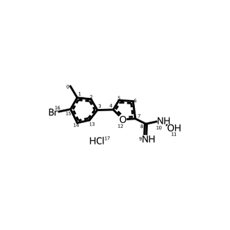 Cc1cc(-c2ccc(C(=N)NO)o2)ccc1Br.Cl